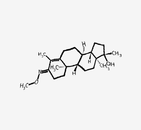 CO/N=C1\CC[C@@]2(C)C(=C1C)CC[C@@H]1[C@@H]2CC[C@@]2(C)[C@H]1CC[C@]2(C)O